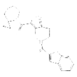 O=C(c1cc2ccccc2[nH]1)N1CCc2noc(C(=O)N3CCCCC34CC4)c2C1